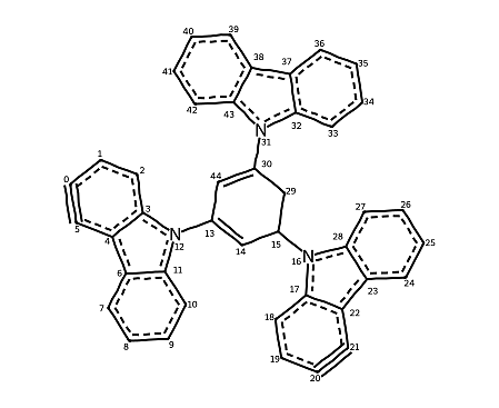 c1ccc2c(c#1)c1ccccc1n2C1=CC(n2c3ccc#cc3c3ccccc32)CC(n2c3ccccc3c3ccccc32)=C1